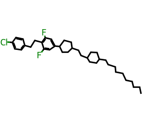 CCCCCCCCCCC1CCC(CCC2CCC(c3cc(F)c(CCc4ccc(Cl)cc4)c(F)c3)CC2)CC1